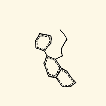 [CH2]CCCc1c(-c2ccccc2)ccc2ccccc12